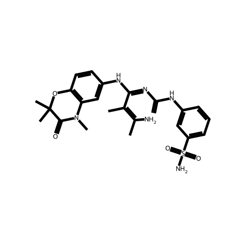 C=C(/N=C(Nc1ccc2c(c1)N(C)C(=O)C(C)(C)O2)\C(C)=C(\C)N)Nc1cccc(S(N)(=O)=O)c1